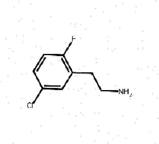 NCCc1cc(Cl)ccc1F